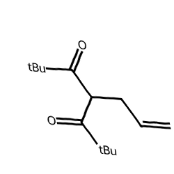 C=CCC(C(=O)C(C)(C)C)C(=O)C(C)(C)C